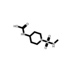 CNS(=O)(=O)N1CCC(NC(=O)O)CC1